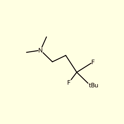 CN(C)CCC(F)(F)C(C)(C)C